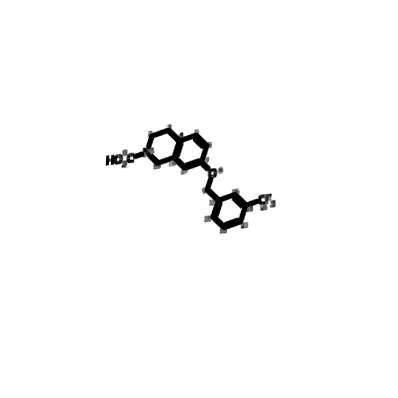 O=C(O)N1CCc2ccc(OCc3cccc(C(F)(F)F)c3)cc2C1